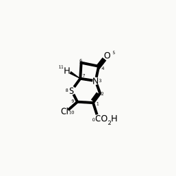 O=C(O)C1=CN2C(=O)C[C@H]2SC1Cl